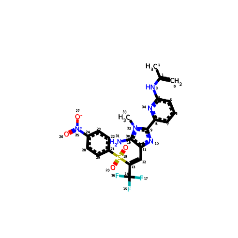 C=C(C)Nc1cccc(-c2nc(/C=C(/C(F)(F)F)S(=O)(=O)c3ccc([N+](=O)[O-])cc3)c(N)n2C)n1